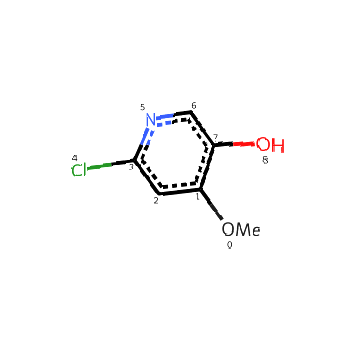 COc1cc(Cl)ncc1O